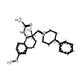 COc1ccc2c(c1)CC[C@@](C)(CN1CCC(c3ccccc3)CC1)[C@@H]2NC(C)=O